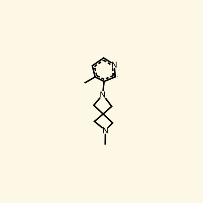 Cc1ccn[c]c1N1CC2(CN(C)C2)C1